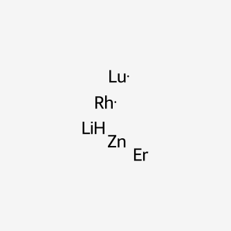 [Er].[LiH].[Lu].[Rh].[Zn]